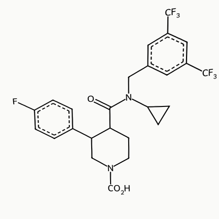 O=C(O)N1CCC(C(=O)N(Cc2cc(C(F)(F)F)cc(C(F)(F)F)c2)C2CC2)C(c2ccc(F)cc2)C1